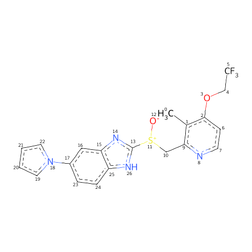 Cc1c(OCC(F)(F)F)ccnc1C[S+]([O-])c1nc2cc(-n3cccc3)ccc2[nH]1